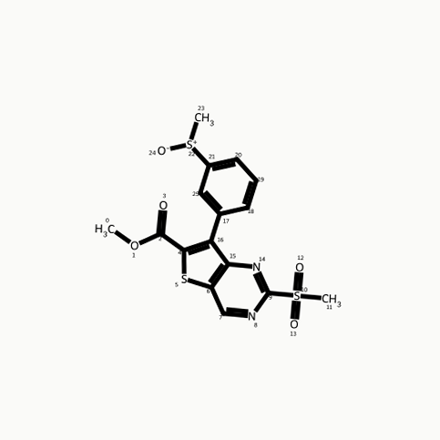 COC(=O)c1sc2cnc(S(C)(=O)=O)nc2c1-c1cccc([S+](C)[O-])c1